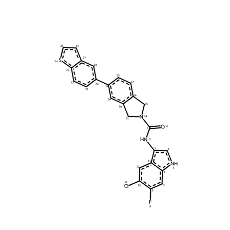 O=C(Nc1c[nH]c2cc(F)c(Cl)cc12)N1Cc2ccc(-c3ccc4sccc4c3)cc2C1